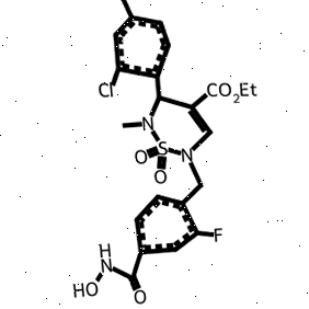 CCOC(=O)C1=CN(Cc2ccc(C(=O)NO)cc2F)S(=O)(=O)N(C)C1c1ccc(Cl)cc1Cl